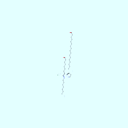 C1=CNCC1.CCCCCCCCCCCCCCCCCC(=O)[O-].CCCCCCCCCCCCCCCCCC(=O)[O-].Cl.[Mg+2]